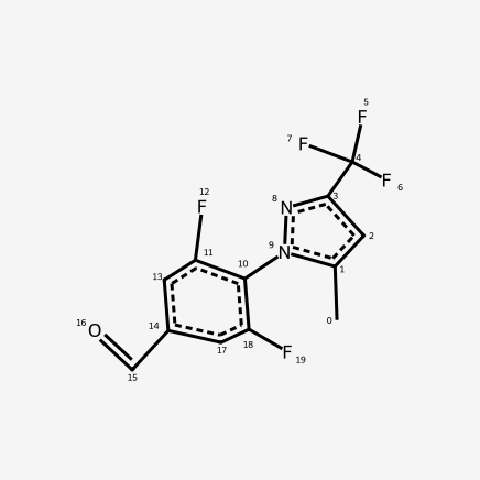 Cc1cc(C(F)(F)F)nn1-c1c(F)cc(C=O)cc1F